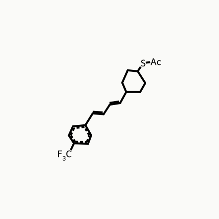 CC(=O)SC1CCC(C=CC=Cc2ccc(C(F)(F)F)cc2)CC1